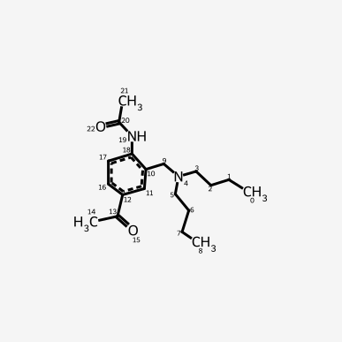 CCCCN(CCCC)Cc1cc(C(C)=O)ccc1NC(C)=O